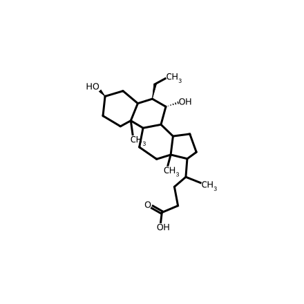 CC[C@@H]1C2C[C@H](O)CCC2(C)C2CCC3(C)C(C(C)CCC(=O)O)CCC3C2[C@H]1O